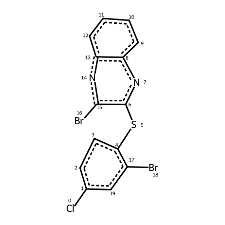 Clc1ccc(Sc2nc3ccccc3nc2Br)c(Br)c1